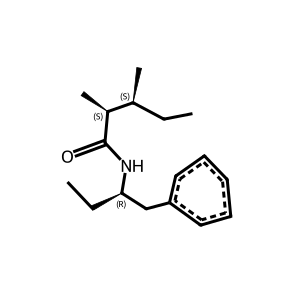 CC[C@H](Cc1ccccc1)NC(=O)[C@@H](C)[C@@H](C)CC